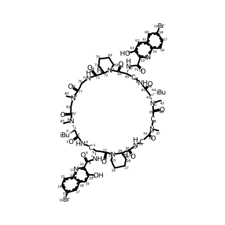 CC[C@H](C)[C@H]1C(=O)NC[C@@H](NC(=O)c2nc3ccc(Br)cc3cc2O)C(=O)N2CCCC[C@H]2C(=O)NCC(=O)N(C)CC(=O)N(C)[C@@H]([C@@H](C)CC)C(=O)NC[C@@H](NC(=O)c2nc3ccc(Br)cc3cc2O)C(=O)N2CCCC[C@H]2C(=O)NCC(=O)N(C)CC(=O)N1C